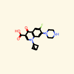 O=C(O)c1cn(C23CC(C2)C3)c2cc(N3CCNCC3)c(F)cc2c1=O